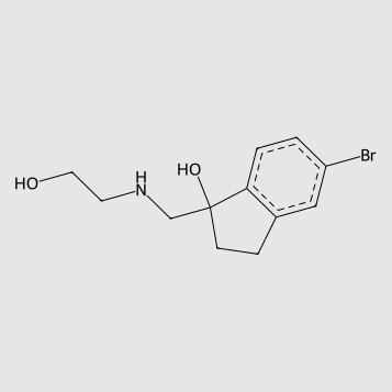 OCCNCC1(O)CCc2cc(Br)ccc21